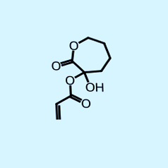 C=CC(=O)OC1(O)CCCCOC1=O